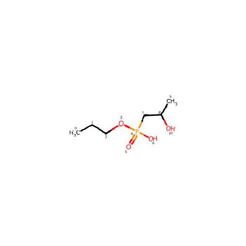 CCCOP(=O)(O)CC(C)O